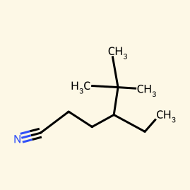 CCC(CCC#N)C(C)(C)C